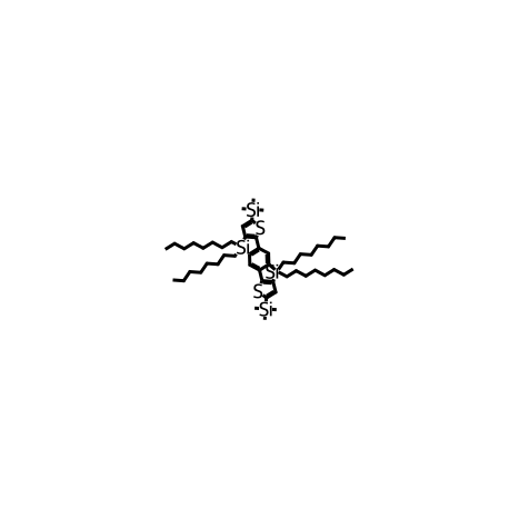 CCCCCCCC[Si]1(CCCCCCCC)c2cc3c(cc2-c2sc([Si](C)(C)C)cc21)[Si](CCCCCCCC)(CCCCCCCC)c1cc([Si](C)(C)C)sc1-3